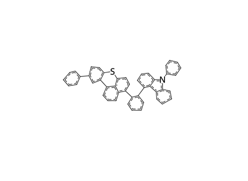 c1ccc(-c2ccc3c(c2)-c2cccc4c(-c5ccccc5-c5cccc6c5c5ccccc5n6-c5ccccc5)ccc(c24)S3)cc1